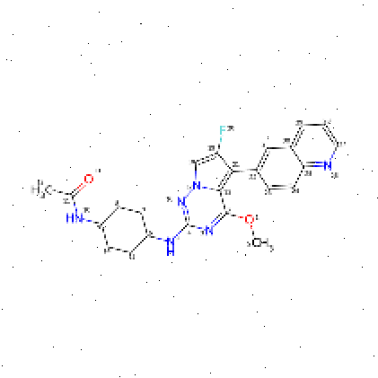 COc1nc(NC2CCC(NC(C)=O)CC2)nn2cc(F)c(-c3ccc4ncccc4c3)c12